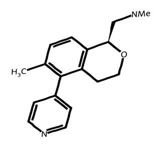 CNC[C@H]1OCCc2c1ccc(C)c2-c1ccncc1